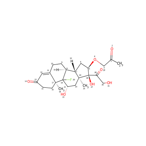 CC(=O)CO[C@@H]1C[C@H]2[C@@H]3CCC4=CC(=O)CC[C@]4(C)C3(F)[C@@H](O)C[C@]2(C)[C@@]1(O)C(=O)CO